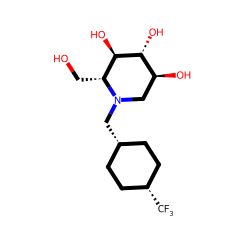 OC[C@@H]1[C@@H](O)[C@H](O)[C@@H](O)CN1C[C@H]1CC[C@@H](C(F)(F)F)CC1